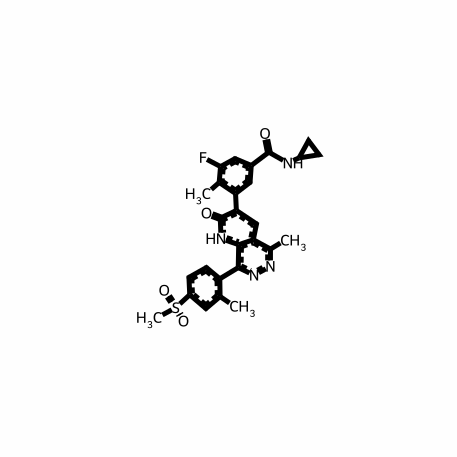 Cc1cc(S(C)(=O)=O)ccc1-c1nnc(C)c2cc(-c3cc(C(=O)NC4CC4)cc(F)c3C)c(=O)[nH]c12